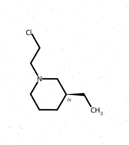 CC[C@H]1CCCN(CCCl)C1